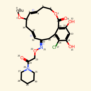 CCCCOC1/C=C/CCOC(=O)c2c(O)cc(O)c(Cl)c2CC(=N/OCC(=O)N2CCCCC2)/C=C/C1